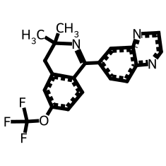 CC1(C)Cc2cc(OC(F)(F)F)ccc2C(c2ccc3nccnc3c2)=N1